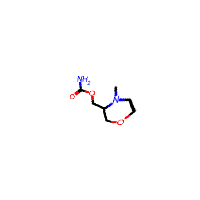 CN1CCOCC1COC(N)=O